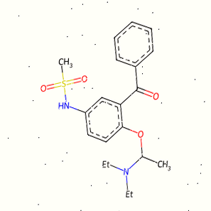 CCN(CC)C(C)Oc1ccc(NS(C)(=O)=O)cc1C(=O)c1ccccc1